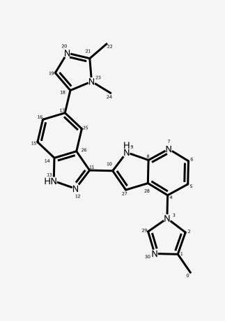 Cc1cn(-c2ccnc3[nH]c(-c4n[nH]c5ccc(-c6cnc(C)n6C)cc45)cc23)cn1